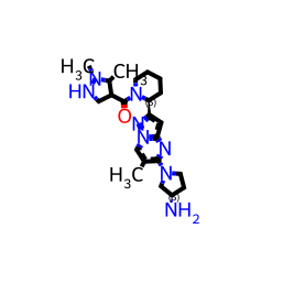 Cc1cn2nc([C@@H]3CCCCN3C(=O)C3CNN(C)C3C)cc2nc1N1CC[C@H](N)C1